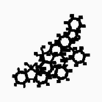 CC1(C)c2ccccc2-c2ccc(-c3cccc(N(c4ccccc4-c4cccc5c4oc4ccccc45)c4cccc5c4-c4ccccc4C5(C)C)c3)cc21